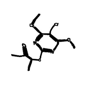 COc1nc(OC(C)C(C)=O)nc(OC)c1Cl